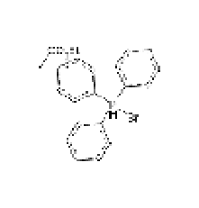 Br[PH](c1ccccc1)(c1ccccc1)c1ccccc1.CCOC(C)=O